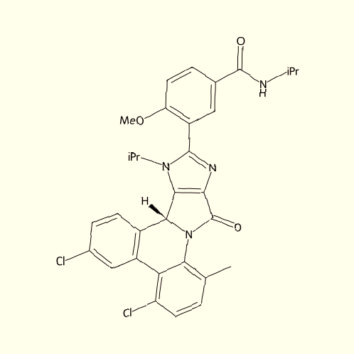 COc1ccc(C(=O)NC(C)C)cc1-c1nc2c(n1C(C)C)[C@H]1c3ccc(Cl)cc3-c3c(Cl)ccc(C)c3N1C2=O